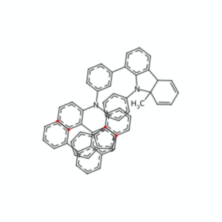 CC12C=CC=CC1c1cccc(-c3cccc(N(c4ccccc4-c4cccc5cccc(-c6ccccc6)c45)c4cccc5sc6ccccc6c45)c3)c1N2c1ccccc1